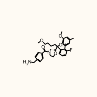 COCCCC[C@](O)(c1cccc(F)c1-c1cc(C)cc(OC)c1)[C@H]1CN(C(=O)c2ccc(CN)cc2)CCO1